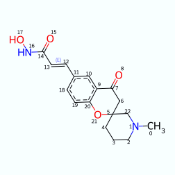 CN1CCCC2(CC(=O)c3cc(/C=C/C(=O)NO)ccc3O2)C1